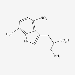 Cc1ccc([N+](=O)[O-])c2c(CC(CN)C(=O)O)c[nH]c12